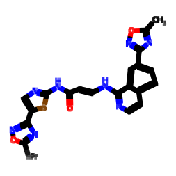 CCCc1nc(-c2cnc(NC(=O)C=CNc3nccc4ccc(-c5noc(C)n5)cc34)s2)no1